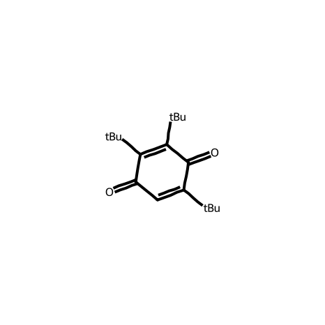 CC(C)(C)C1=CC(=O)C(C(C)(C)C)=C(C(C)(C)C)C1=O